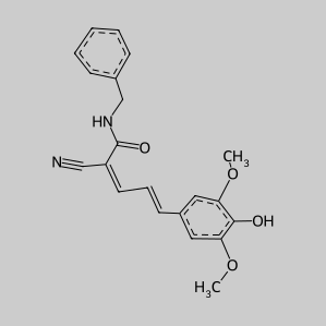 COc1cc(C=CC=C(C#N)C(=O)NCc2ccccc2)cc(OC)c1O